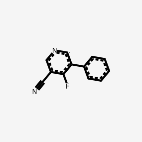 N#Cc1cn[c]c(-c2ccccc2)c1F